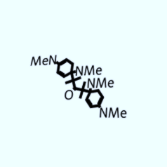 CNC1=CCC(NC)(C(C)(C)C(=O)C(C)(C)C2(NC)C=CC(NC)=CC2)C=C1